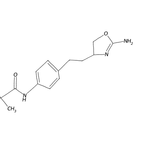 CC1(C(=O)Nc2ccc(CCC3COC(N)=N3)cc2)CC1